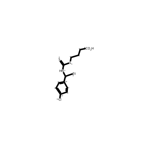 CCC(NC(=S)SCCCC(=O)O)c1ccc(Cl)cc1